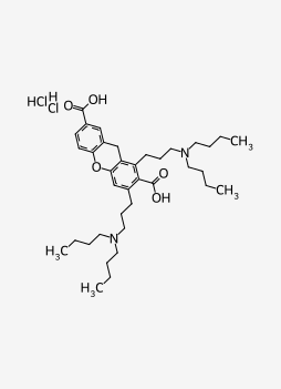 CCCCN(CCCC)CCCc1cc2c(c(CCCN(CCCC)CCCC)c1C(=O)O)Cc1cc(C(=O)O)ccc1O2.Cl.Cl